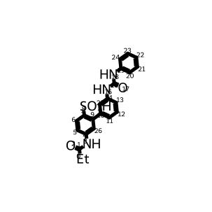 CCC(=O)Nc1ccc(S(=O)(=O)O)c(-c2cccc(NC(=O)Nc3ccccc3)c2)c1